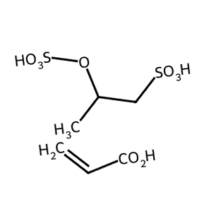 C=CC(=O)O.CC(CS(=O)(=O)O)OS(=O)(=O)O